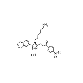 CCN(CC)c1ccc(C(=O)CSc2nnc(-c3ccc4ccccc4c3)n2CCCCCCN)cc1.Cl